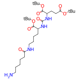 CC(C)(C)OC(=O)CCC(NC(=O)NC(CCCCNC(=O)CCCCCN)C(=O)OC(C)(C)C)C(=O)OC(C)(C)C